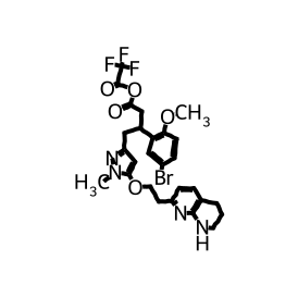 COc1ccc(Br)cc1C(CC(=O)OC(=O)C(F)(F)F)Cc1cc(OCCc2ccc3c(n2)NCCC3)n(C)n1